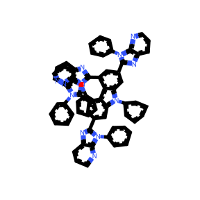 c1ccc(-n2c(-c3cc(-c4nc5cccnc5n4-c4ccccc4)c4c5c(-c6nc7cccnc7n6-c6ccccc6)cc(-c6nc7cccnc7n6-c6ccccc6)cc5n(-c5ccccc5)c4c3)nc3cccnc32)cc1